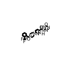 O=C(Nc1ncnc(=O)[nH]1)c1ccc(N2CCN(C(=O)c3ccccc3C(F)(F)F)CC2)nn1